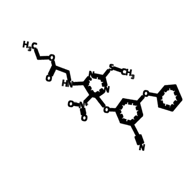 CCOC(=O)CNc1nc(SC)nc(Oc2cc(C#N)cc(Oc3ccccc3)c2)c1[N+](=O)[O-]